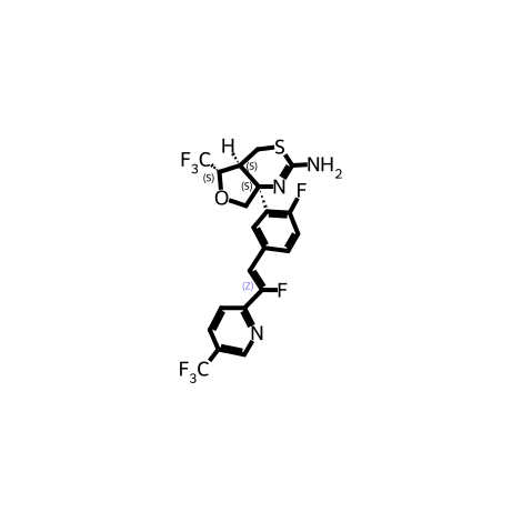 NC1=N[C@@]2(c3cc(/C=C(\F)c4ccc(C(F)(F)F)cn4)ccc3F)CO[C@H](C(F)(F)F)[C@H]2CS1